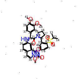 COC(=O)Nc1ccc(S(=O)(=O)C(C)C)c(C2CCCN2C(=O)C(Nc2ccc3cc[nH]c(=O)c3c2)c2ccc(OC)c(OC)c2)c1